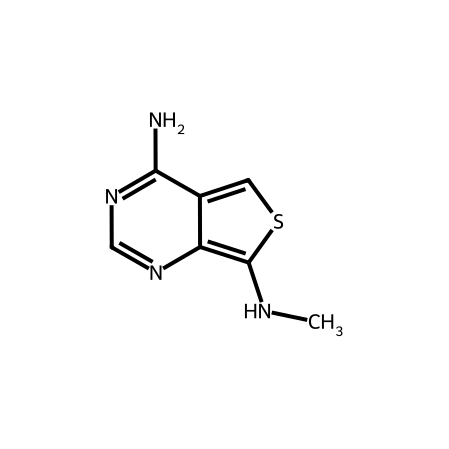 CNc1scc2c(N)ncnc12